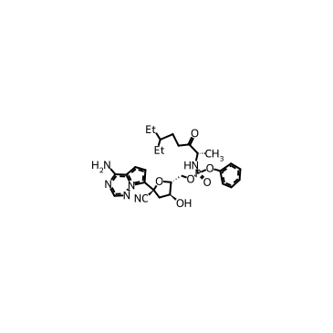 CCC(CC)CCC(=O)[C@H](C)NP(=O)(OC[C@H]1O[C@@](C#N)(c2ccc3c(N)ncnn23)C[C@@H]1O)Oc1ccccc1